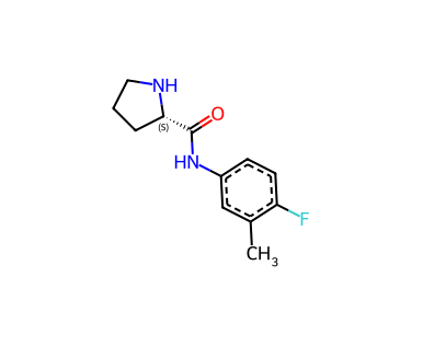 Cc1cc(NC(=O)[C@@H]2CCCN2)ccc1F